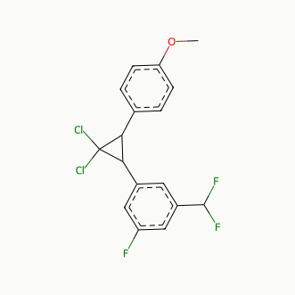 COc1ccc(C2C(c3cc(F)cc(C(F)F)c3)C2(Cl)Cl)cc1